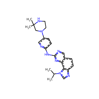 CC(C)n1cnc2ccc3cnc(Nc4ccc(N5CCNC(C)(C)C5)cn4)nc3c21